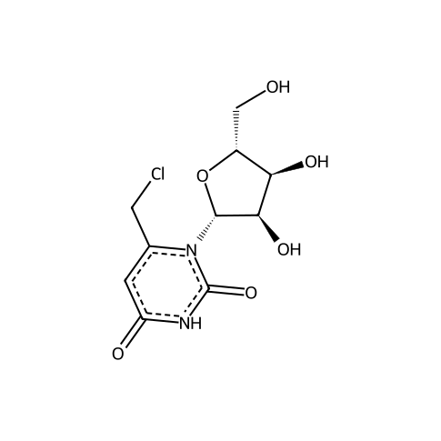 O=c1cc(CCl)n([C@@H]2O[C@H](CO)[C@@H](O)[C@H]2O)c(=O)[nH]1